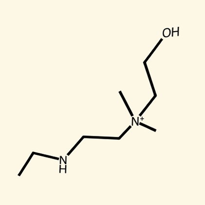 CCNCC[N+](C)(C)CCO